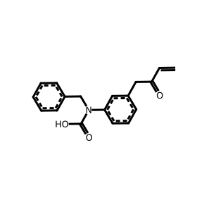 C=CC(=O)Cc1cccc(N(Cc2ccccc2)C(=O)O)c1